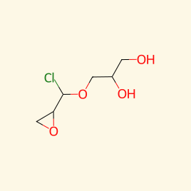 OCC(O)COC(Cl)C1CO1